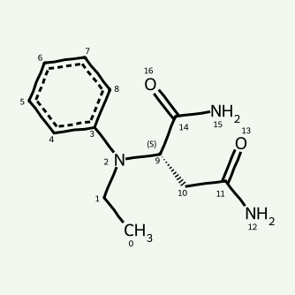 CCN(c1ccccc1)[C@@H](CC(N)=O)C(N)=O